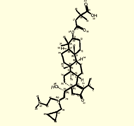 CC(C)C1=C2[C@H]3CC[C@@H]4[C@@]5(C)CC[C@H](OC(=O)CC(C)(C)C(=O)O)C(C)(C)[C@@H]5CC[C@@]4(C)[C@]3(C)CC[C@@]2([C@@H](O)CN(CCN(C)C)CC2CC2)CC1=O